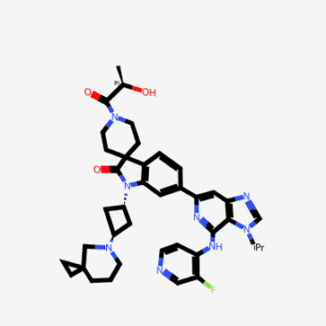 CC(C)n1cnc2cc(-c3ccc4c(c3)N([C@H]3C[C@@H](N5CCCC6(CC6)C5)C3)C(=O)C43CCN(C(=O)[C@@H](C)O)CC3)nc(Nc3ccncc3F)c21